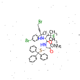 COC(=O)[C@H](CSC(c1ccccc1)(c1ccccc1)c1ccccc1)NC(=O)[C@H](CC(C)(C)F)N[C@@](C#CCBr)(c1ccc(Br)cc1)C(F)(F)F